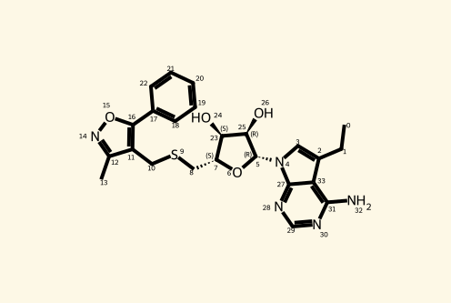 CCc1cn([C@@H]2O[C@H](CSCc3c(C)noc3-c3ccccc3)[C@@H](O)[C@H]2O)c2ncnc(N)c12